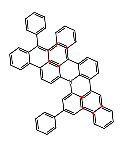 c1ccc(-c2cc(-c3ccccc3)cc(N(c3ccc4c(c3)c(-c3ccccc3)c(-c3ccccc3)c3ccccc34)c3c(-c4ccccc4)cccc3-c3ccccc3)c2)cc1